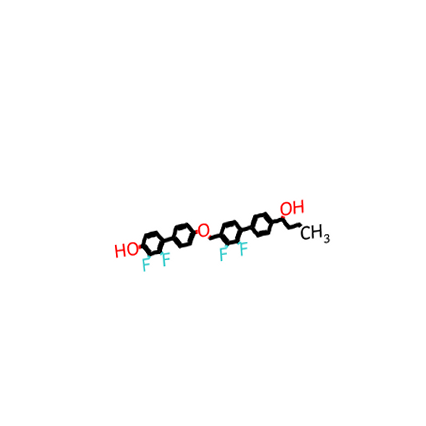 CCCC(O)c1ccc(-c2ccc(COc3ccc(-c4ccc(O)c(F)c4F)cc3)c(F)c2F)cc1